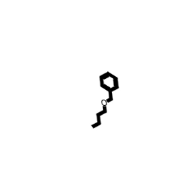 CCCCOCc1cc[c]cc1